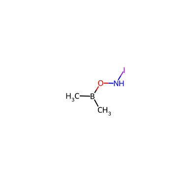 CB(C)ONI